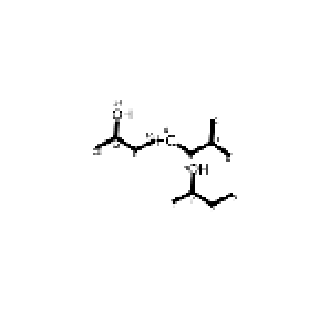 CC(C)CO.CCC(C)O.CCC(C)O